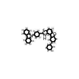 c1ccc(-c2ccc3oc4ccc5c(c4c3c2)NC(c2ccc(-n3c4ccccc4c4ccccc43)cc2)S5)cc1